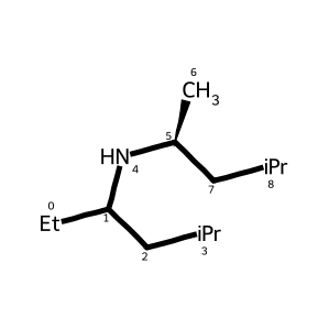 CCC(CC(C)C)N[C@@H](C)CC(C)C